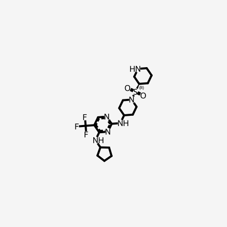 O=S(=O)([C@@H]1CCCNC1)N1CCC(Nc2ncc(C(F)(F)F)c(NC3CCCC3)n2)CC1